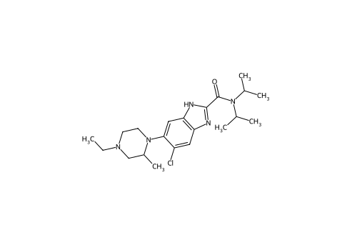 CCN1CCN(c2cc3[nH]c(C(=O)N(C(C)C)C(C)C)nc3cc2Cl)C(C)C1